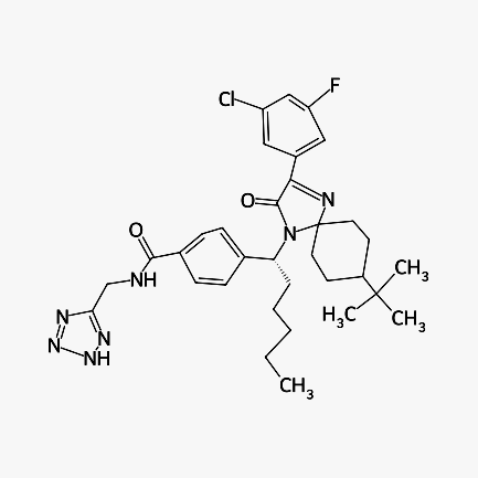 CCCCC[C@H](c1ccc(C(=O)NCc2nn[nH]n2)cc1)N1C(=O)C(c2cc(F)cc(Cl)c2)=NC12CCC(C(C)(C)C)CC2